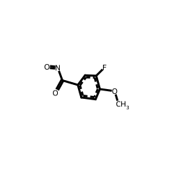 COc1ccc(C(=O)N=O)cc1F